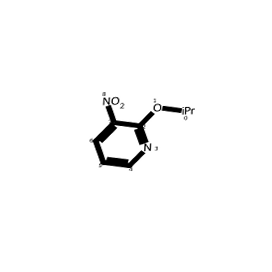 CC(C)Oc1ncccc1[N+](=O)[O-]